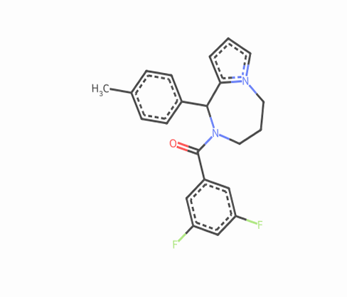 Cc1ccc(C2c3cccn3CCCN2C(=O)c2cc(F)cc(F)c2)cc1